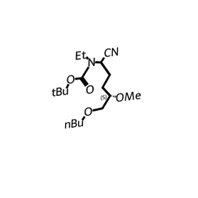 CCCCOC[C@H](CCC(C#N)N(CC)C(=O)OC(C)(C)C)OC